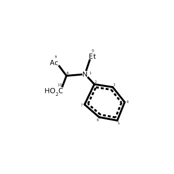 CCN(c1ccccc1)C(C(C)=O)C(=O)O